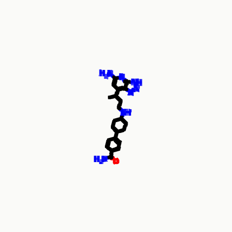 CC(CCNC1CCC(c2ccc(C(N)=O)cc2)CC1)c1cc(N)nc2[nH]nnc12